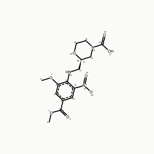 COC(=O)c1cc(OC)c(NC[C@@H]2CN(C(=O)O)CCO2)c([N+](=O)[O-])c1